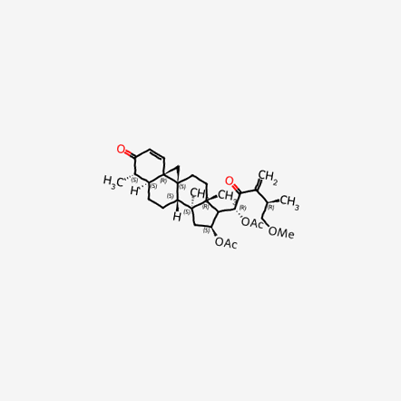 C=C(C(=O)[C@H](OC(C)=O)C1[C@@H](OC(C)=O)C[C@@]2(C)[C@@H]3CC[C@H]4[C@H](C)C(=O)C=C[C@@]45C[C@@]35CC[C@]12C)[C@@H](C)COC